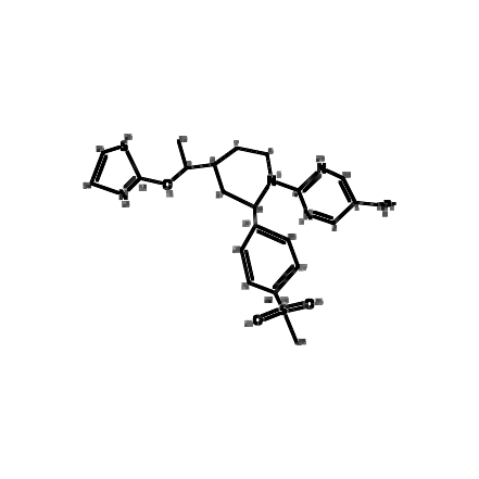 CCCc1cnc(N2CCC(C(C)Oc3nccs3)CC2c2ccc(S(C)(=O)=O)cc2)nc1